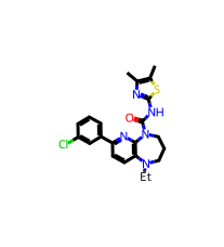 CCN1CCCN(C(=O)Nc2nc(C)c(C)s2)c2nc(-c3cccc(Cl)c3)ccc21